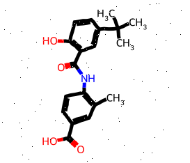 Cc1cc(C(=O)O)ccc1NC(=O)c1cc(C(C)(C)C)ccc1O